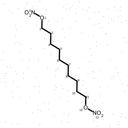 O=[N+]([O-])OCCCCCCCCCCO[N+](=O)[O-]